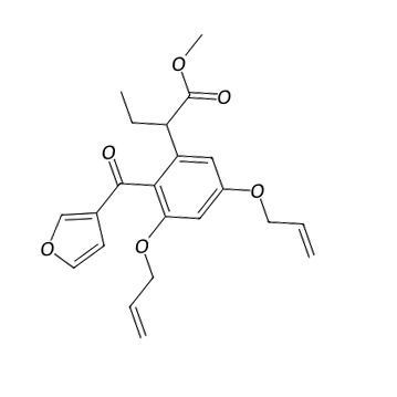 C=CCOc1cc(OCC=C)c(C(=O)c2ccoc2)c(C(CC)C(=O)OC)c1